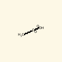 CCCCCCCCOC(=O)/C=C/C(=O)O